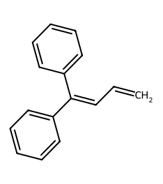 C=CC=C(c1ccccc1)c1ccccc1